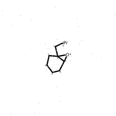 CC(C)CC12CCCCC1O2